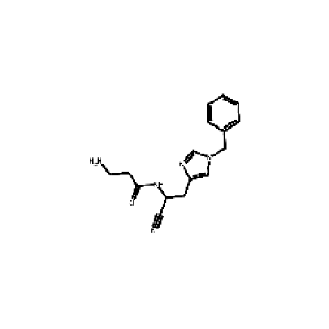 N#CC(Cc1cn(Cc2ccccc2)cn1)NC(=O)CCN